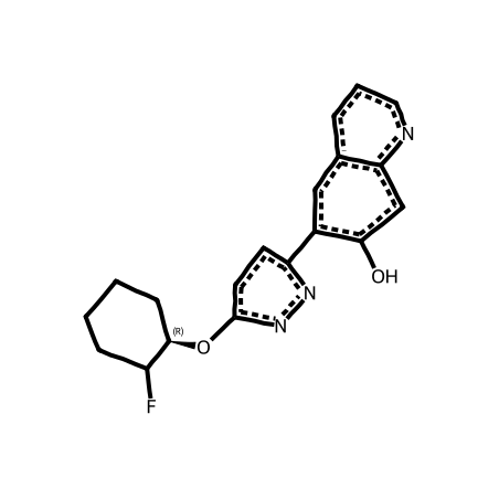 Oc1cc2ncccc2cc1-c1ccc(O[C@@H]2CCCCC2F)nn1